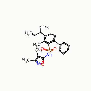 C=CC(CCCCCC)c1ccc(-c2ccccc2)c(S(=O)(=O)Nc2onc(C)c2C)c1C